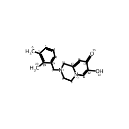 Cc1cccc(CN2CCn3cc(O)c(=O)cc3C2)c1C